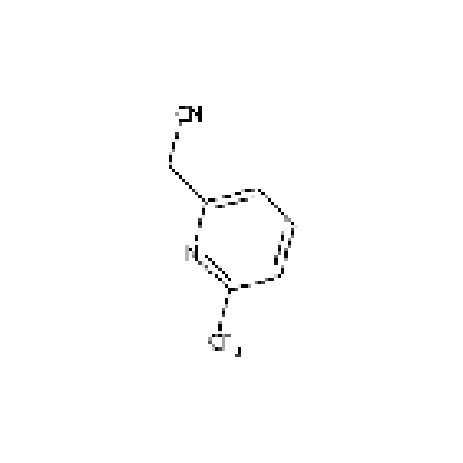 N#CCc1cccc(C(F)(F)F)n1